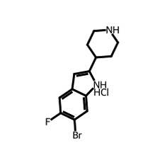 Cl.Fc1cc2cc(C3CCNCC3)[nH]c2cc1Br